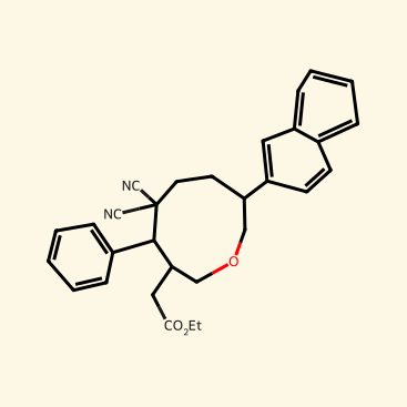 CCOC(=O)CC1COCC(c2ccc3ccccc3c2)CCC(C#N)(C#N)C1c1ccccc1